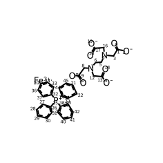 O=C([O-])CN(CCN(CC(=O)[O-])CC(=O)[O-])CC(=O)[O-].[Fe+3].c1ccc([P+](c2ccccc2)(c2ccccc2)c2ccccc2)cc1